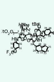 CCOC(=O)CC[C@H](NC(=O)[C@H](Cc1nn[nH]n1)NC(=O)[C@H](Cc1ccc2ccccc2c1)NC(=O)c1cc2cc(Cl)ccc2n1C(=O)OC(C)(C)C)C(=O)Nc1ccc(OC(F)(F)F)cc1